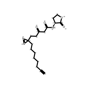 C#CCCCCCCC1(CCC(=O)CC(=O)N[C@H]2CCOC2=O)N=N1